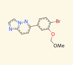 COCOc1cc(-c2ccc3nccn3n2)ccc1Br